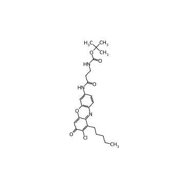 CCCCCc1c2nc3ccc(NC(=O)CCNC(=O)OC(C)(C)C)cc3oc-2cc(=O)c1Cl